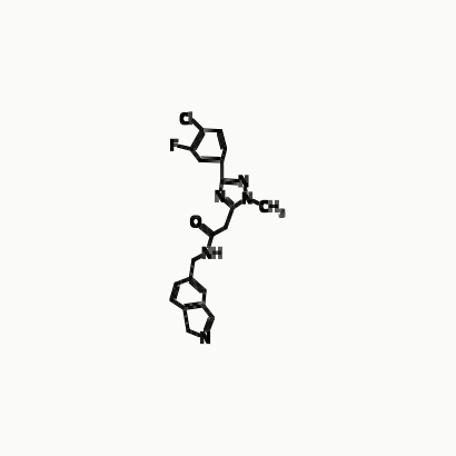 Cn1nc(-c2ccc(Cl)c(F)c2)nc1CC(=O)NCc1ccc2c(c1)C=NC2